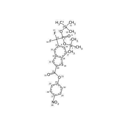 C[Si](C)(C)OP(=O)(O[Si](C)(C)C)C(F)(F)c1ccc2sc(C(=O)Oc3ccc([N+](=O)[O-])cc3)cc2c1